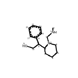 CNCN1CCCCC1C(CO)c1ccccc1